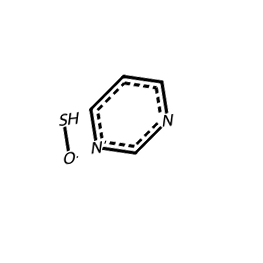 [O]S.c1cncnc1